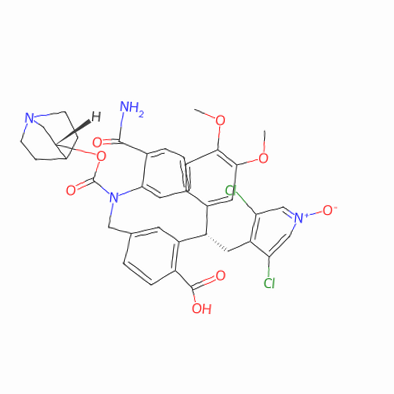 COc1ccc([C@H](Cc2c(Cl)c[n+]([O-])cc2Cl)c2cc(CN(C(=O)O[C@H]3CN4CCC3CC4)c3ccccc3C(N)=O)ccc2C(=O)O)cc1OC